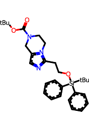 CC(C)(C)OC(=O)N1CCn2c(cnc2CCO[Si](c2ccccc2)(c2ccccc2)C(C)(C)C)C1